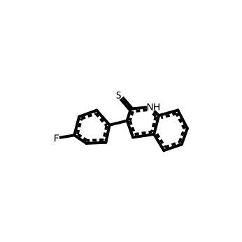 Fc1ccc(-c2cc3ccccc3[nH]c2=S)cc1